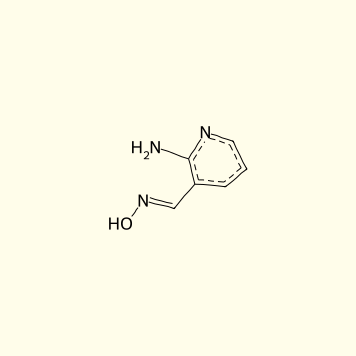 Nc1ncccc1C=NO